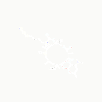 CC[C@H]1OC(=O)[C@H](C)C(=O)C[C@@H](O[C@@H]2OC(C)CC(N(C)C)C2O)[C@@](C)(OC)C[C@@H](C)CN(C(C)=O)[C@H](C)[C@H]2N(CCCCN=[N+]=[N-])C(=O)O[C@]12C